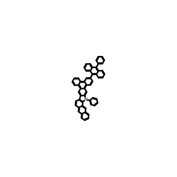 c1ccc(-c2c3ccccc3c(-c3ccc4c(c3)c3ccccc3c3cc5c6ccc7cc8ccccc8cc7c6n(-c6ccccc6)c5cc43)c3ccccc23)cc1